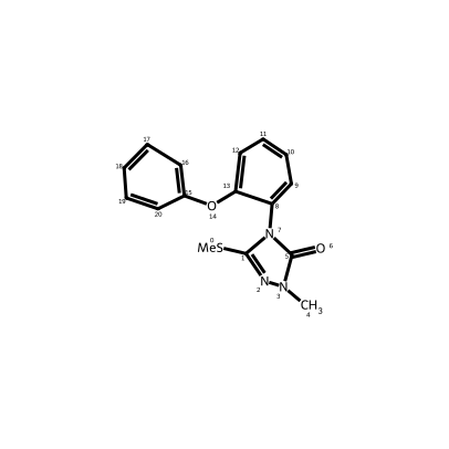 CSc1nn(C)c(=O)n1-c1ccccc1Oc1ccccc1